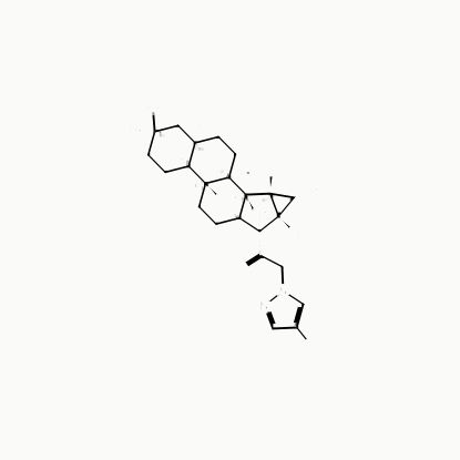 C[C@H]1[C@@H]2[C@H]1[C@H](C(=O)Cn1cc(C(F)(F)F)cn1)[C@@]1(C)CC[C@H]3[C@@H](CC[C@@H]4C[C@](C)(O)CC[C@@H]43)[C@H]21